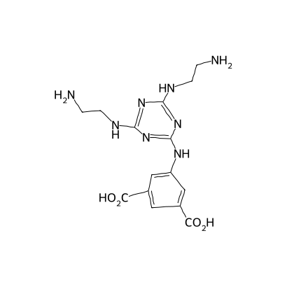 NCCNc1nc(NCCN)nc(Nc2cc(C(=O)O)cc(C(=O)O)c2)n1